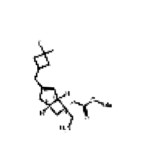 CC(C)(C)OC(=O)C[C@]1(CN)C[C@@H]2CC(CC3CC(F)(F)C3)=C[C@@H]21